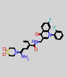 C=C/C(=C\C=C(/N)N1CCS(=O)(=O)CC1)C(=O)NCc1cn(-c2ccccc2F)c2cc(F)ccc2c1=O